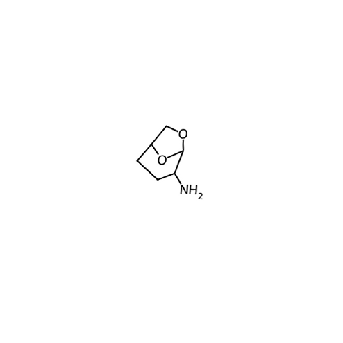 NC1CCC2COC1O2